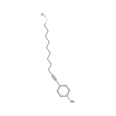 CCSCCCCCCCCCC#Cc1ccc(C(C)(C)C)cc1